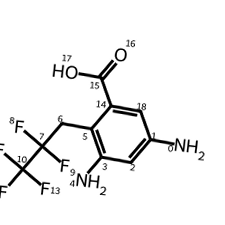 Nc1cc(N)c(CC(F)(F)C(F)(F)F)c(C(=O)O)c1